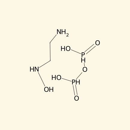 NCCNO.O=[PH](O)O[PH](=O)O